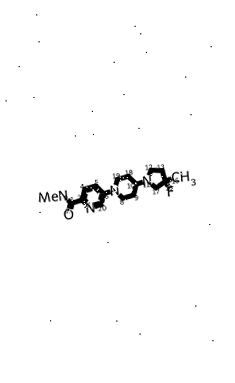 CNC(=O)c1ccc(N2CCC(N3CCC(C)(F)C3)CC2)cn1